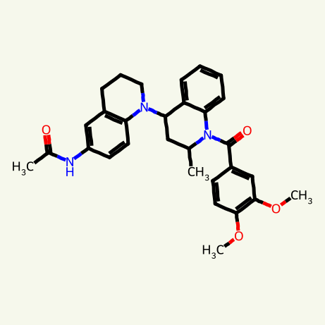 COc1ccc(C(=O)N2c3ccccc3C(N3CCCc4cc(NC(C)=O)ccc43)CC2C)cc1OC